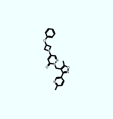 Cc1ccc(-c2noc(C)c2Cn2ncc(N3CC(Oc4ccccc4)C3)cc2=O)cn1